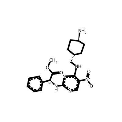 COC(=O)[C@@H](Nc1ncc([N+](=O)[O-])c(NC[C@H]2CC[C@H](N)CC2)n1)c1ccccc1